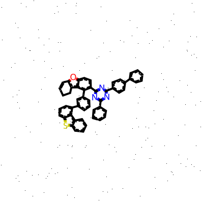 C1=Cc2oc3ccc(-c4nc(-c5ccccc5)nc(-c5ccc(-c6ccccc6)cc5)n4)c(-c4cccc(-c5cccc6sc7ccccc7c56)c4)c3c2CC1